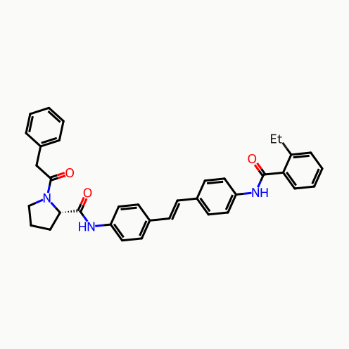 CCc1ccccc1C(=O)Nc1ccc(/C=C/c2ccc(NC(=O)[C@@H]3CCCN3C(=O)Cc3ccccc3)cc2)cc1